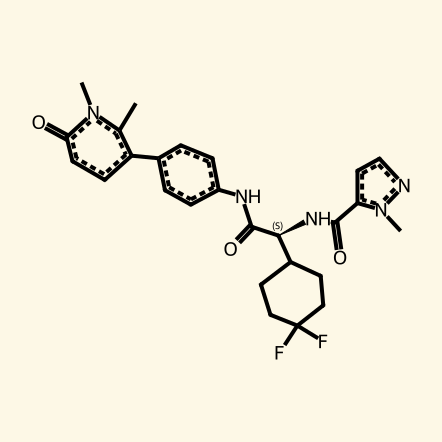 Cc1c(-c2ccc(NC(=O)[C@@H](NC(=O)c3ccnn3C)C3CCC(F)(F)CC3)cc2)ccc(=O)n1C